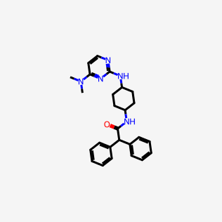 CN(C)c1ccnc(NC2CCC(NC(=O)C(c3ccccc3)c3ccccc3)CC2)n1